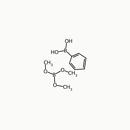 COB(OC)OC.OB(O)c1ccccc1